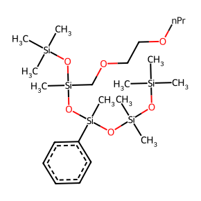 CCCOCCOC[Si](C)(O[Si](C)(C)C)O[Si](C)(O[Si](C)(C)O[Si](C)(C)C)c1ccccc1